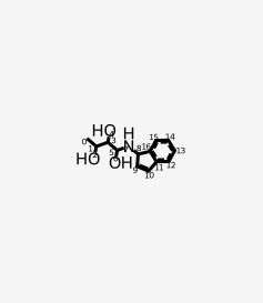 CC(O)C(O)C(O)NC1C=Cc2ccccc21